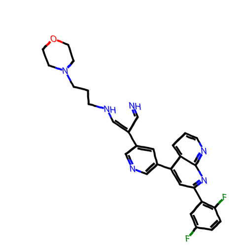 N=C/C(=C\NCCCN1CCOCC1)c1cncc(-c2cc(-c3cc(F)ccc3F)nc3ncccc23)c1